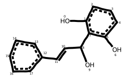 Oc1cccc(O)c1C(O)C=Cc1ccccc1